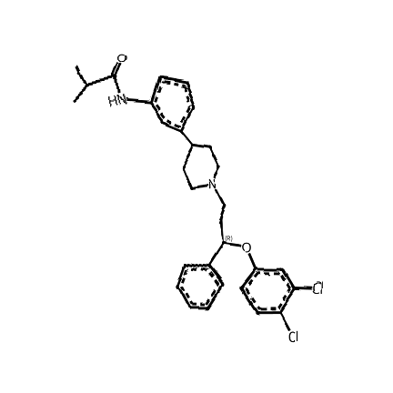 CC(C)C(=O)Nc1cccc(C2CCN(CC[C@@H](Oc3ccc(Cl)c(Cl)c3)c3ccccc3)CC2)c1